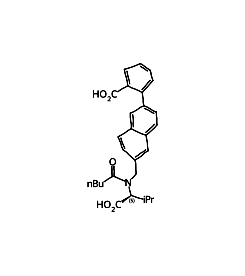 CCCCC(=O)N(Cc1ccc2cc(-c3ccccc3C(=O)O)ccc2c1)[C@H](C(=O)O)C(C)C